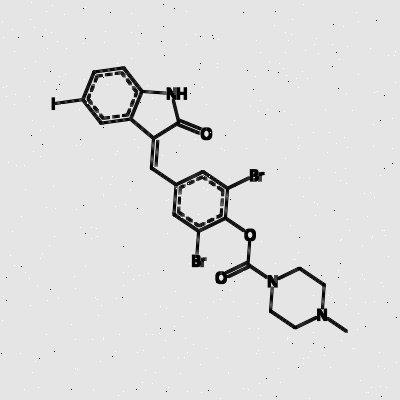 CN1CCN(C(=O)Oc2c(Br)cc(C=C3C(=O)Nc4ccc(I)cc43)cc2Br)CC1